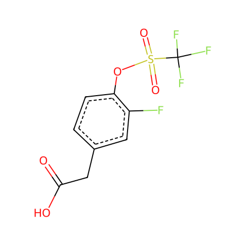 O=C(O)Cc1ccc(OS(=O)(=O)C(F)(F)F)c(F)c1